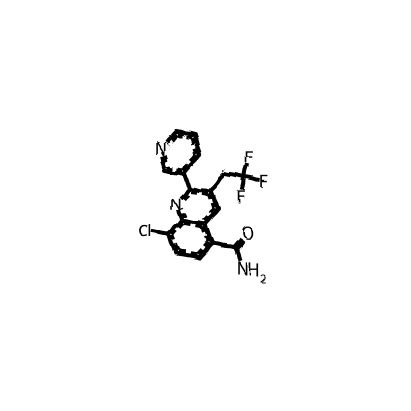 NC(=O)c1ccc(Cl)c2nc(-c3cccnc3)c([CH]C(F)(F)F)cc12